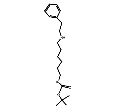 CC(C)(C)OC(=O)NCCCCCCNCCc1ccccc1